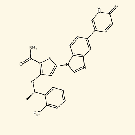 C=C1C=CC(c2ccc3c(c2)ncn3-c2cc(O[C@H](C)c3ccccc3C(F)(F)F)c(C(N)=O)s2)=CN1